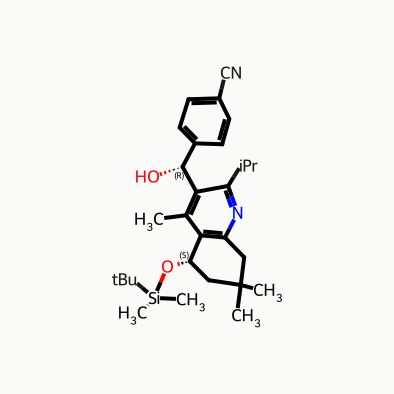 Cc1c([C@H](O)c2ccc(C#N)cc2)c(C(C)C)nc2c1[C@@H](O[Si](C)(C)C(C)(C)C)CC(C)(C)C2